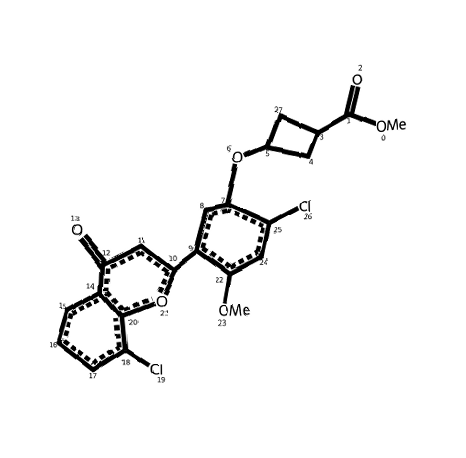 COC(=O)C1CC(Oc2cc(-c3cc(=O)c4cccc(Cl)c4o3)c(OC)cc2Cl)C1